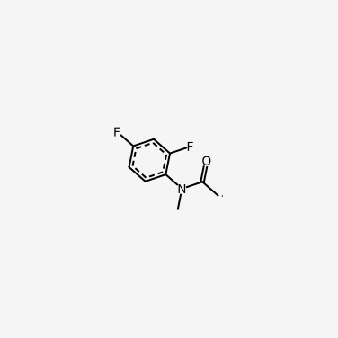 [CH2]C(=O)N(C)c1ccc(F)cc1F